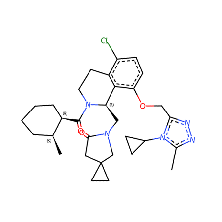 Cc1nnc(COc2ccc(Cl)c3c2[C@@H](CN2CC4(CC4)CC2=O)N(C(=O)[C@@H]2CCCC[C@@H]2C)CC3)n1C1CC1